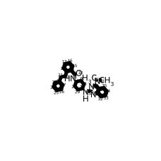 CN(C)c1nc(N[C@H]2CC[C@@H](NC(=O)c3ccccc3CCc3ccccc3)CC2)nc2ccccc12